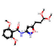 COc1cccc(OC)c1C(=O)Nc1cc(CCC(OC)OC)on1